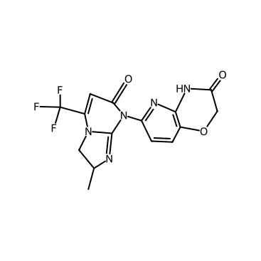 CC1CN2C(C(F)(F)F)=CC(=O)N(c3ccc4c(n3)NC(=O)CO4)C2=N1